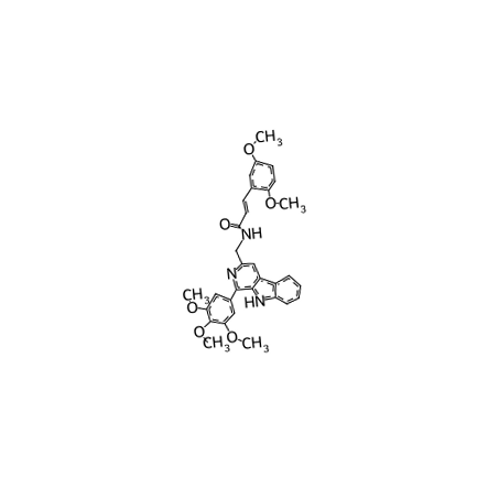 COc1ccc(OC)c(/C=C/C(=O)NCc2cc3c([nH]c4ccccc43)c(-c3cc(OC)c(OC)c(OC)c3)n2)c1